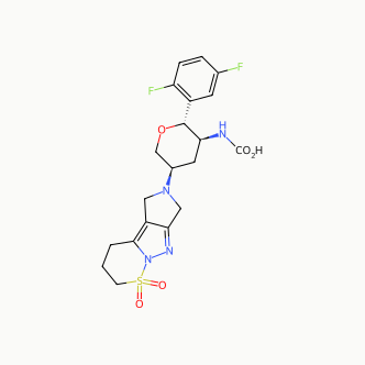 O=C(O)N[C@H]1C[C@@H](N2Cc3nn4c(c3C2)CCCS4(=O)=O)CO[C@@H]1c1cc(F)ccc1F